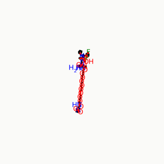 CC(C)[C@H](NC(=O)CCOCCOCCOCCOCCOCCOCCOCCOCCNC(=O)CCN1C(=O)C=CC1=O)C(=O)N(CCCN(C(=O)CO)[C@@H](c1cc(-c2cc(F)ccc2F)cn1Cc1ccccc1)C(C)(C)C)[C@@H](C)C(N)=O